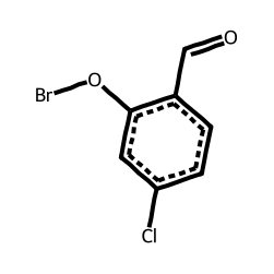 O=Cc1ccc(Cl)cc1OBr